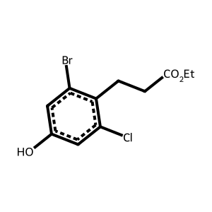 CCOC(=O)CCc1c(Cl)cc(O)cc1Br